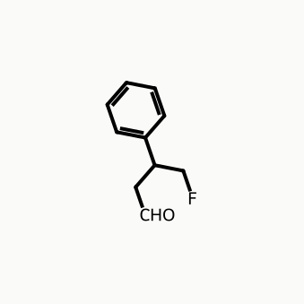 O=CCC(CF)c1ccccc1